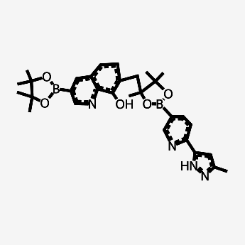 Cc1cc(-c2ccc(B3OC(C)(C)C(C)(Cc4ccc5cc(B6OC(C)(C)C(C)(C)O6)cnc5c4O)O3)cn2)[nH]n1